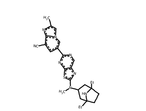 CCC12CCC(CC)(CC(N(C)c3nc4cnc(-c5cc(C#N)c6nc(C)cn6c5)nc4s3)C1)N2